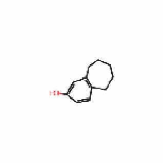 Oc1ccc2c(c1)CCCCC2